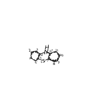 [c]1cccc2c1Sc1[c]cccc1N2